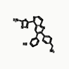 Cl.NCc1ccc(-c2nc3ccnc(-c4nnc(N)s4)c3cc2-c2ccccc2)cc1